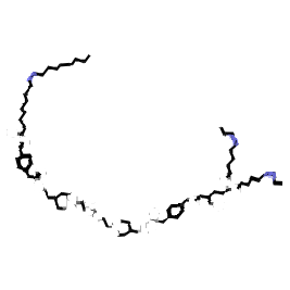 CC/C=C\CCCCOC(CCC(C=O)COCc1ccc(CC(=O)OCCC2CCN(CCSSCCN3CCC(CCOC(=O)Cc4ccc(COC(=O)CCCCCCC/C=C\CCCCCCCC)cc4)CC3)CC2)cc1)OCCCC/C=C\CC